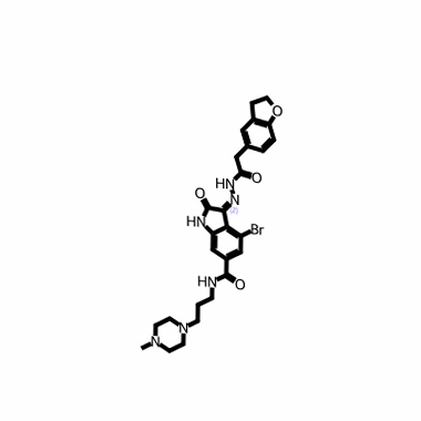 CN1CCN(CCCNC(=O)c2cc(Br)c3c(c2)NC(=O)/C3=N\NC(=O)Cc2ccc3c(c2)CCO3)CC1